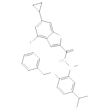 CC(C)c1ccc(OCc2ccccc2)c([S+]([O-])NC(=O)c2cc3c(F)cc(C4CC4)cc3o2)c1